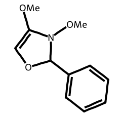 COC1=COC(c2ccccc2)N1OC